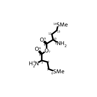 CSCCC(N)C(=O)OC(=O)C(N)CCSC